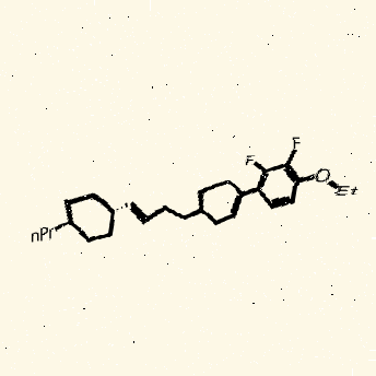 CCC[C@H]1CC[C@H](C=CCCC2CC=C(c3ccc(OCC)c(F)c3F)CC2)CC1